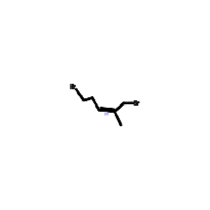 C/C(=C/CCBr)CBr